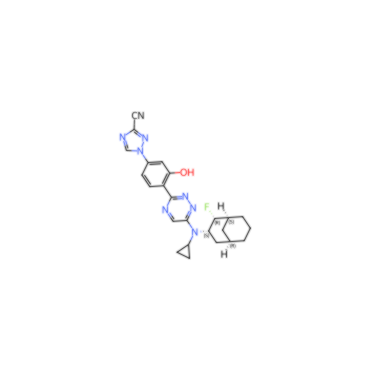 N#Cc1ncn(-c2ccc(-c3ncc(N(C4CC4)[C@H]4C[C@@H]5CCC[C@@H](C5)[C@H]4F)nn3)c(O)c2)n1